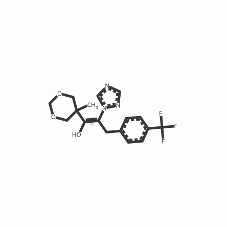 CC1(/C(O)=C(/Cc2ccc(C(F)(F)F)cc2)n2cncn2)COCOC1